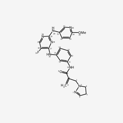 C=C(CN1CCC=N1)C(=O)Nc1cccc(Nc2nc(Nc3ccc(OC)nc3)ncc2F)c1